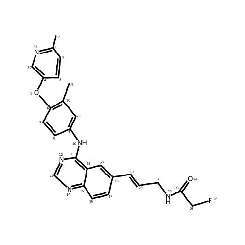 Cc1ccc(Oc2ccc(Nc3ncnc4ccc(/C=C/CNC(=O)CF)cc34)cc2C)cn1